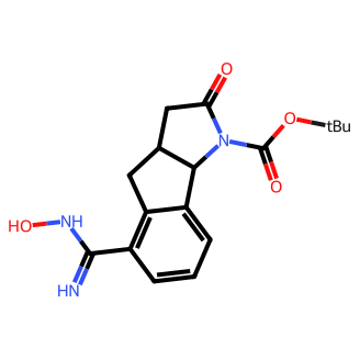 CC(C)(C)OC(=O)N1C(=O)CC2Cc3c(C(=N)NO)cccc3C21